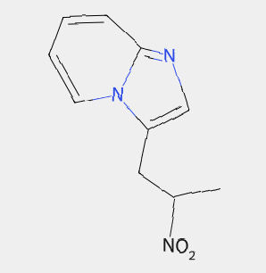 CC(Cc1cnc2ccccn12)[N+](=O)[O-]